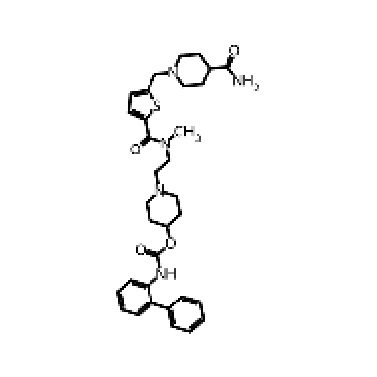 CN(CCN1CCC(OC(=O)Nc2ccccc2-c2ccccc2)CC1)C(=O)c1ccc(CN2CCC(C(N)=O)CC2)s1